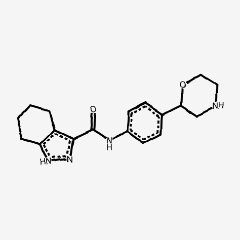 O=C(Nc1ccc(C2CNCCO2)cc1)c1n[nH]c2c1CCCC2